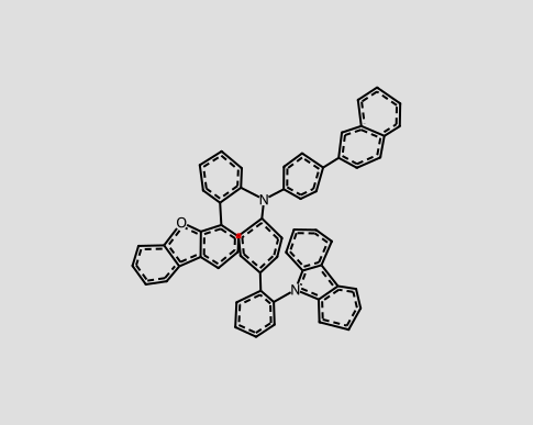 c1ccc(N(c2ccc(-c3ccc4ccccc4c3)cc2)c2ccc(-c3ccccc3-n3c4ccccc4c4ccccc43)cc2)c(-c2cccc3c2oc2ccccc23)c1